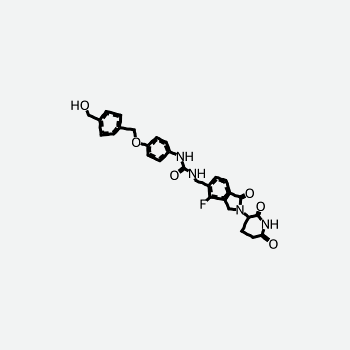 O=C1CCC(N2Cc3c(ccc(CNC(=O)Nc4ccc(OCc5ccc(CO)cc5)cc4)c3F)C2=O)C(=O)N1